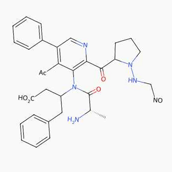 CC(=O)c1c(-c2ccccc2)cnc(C(=O)C2CCCN2NCN=O)c1N(C(=O)[C@H](C)N)C(CC(=O)O)Cc1ccccc1